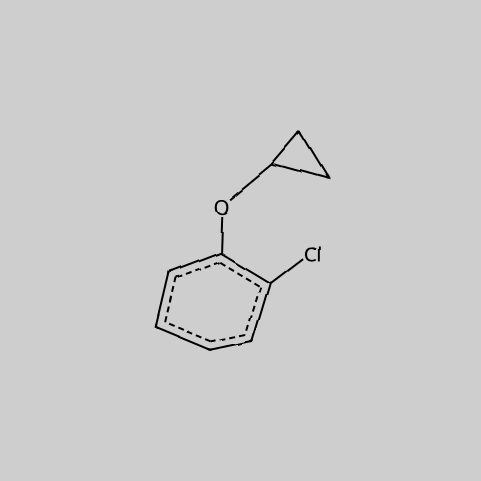 Clc1ccccc1OC1CC1